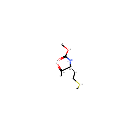 COC(=O)N[C@H](CCSC)C(C)=O